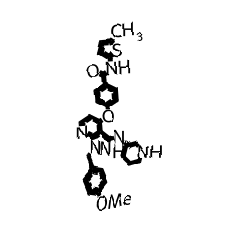 COc1ccc(Cn2nc(N[C@@H]3CCCNC3)c3c(Oc4ccc(C(=O)Nc5ccc(C)s5)cc4)ccnc32)cc1